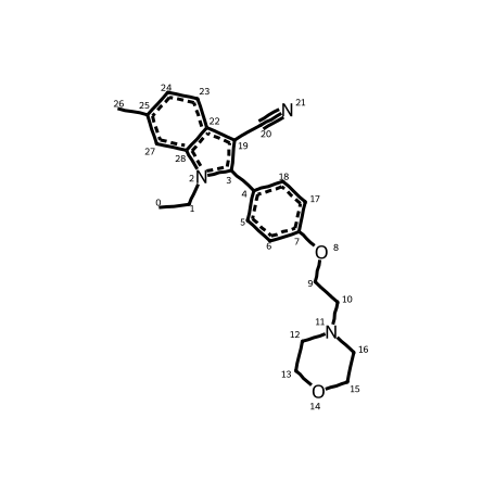 CCn1c(-c2ccc(OCCN3CCOCC3)cc2)c(C#N)c2ccc(C)cc21